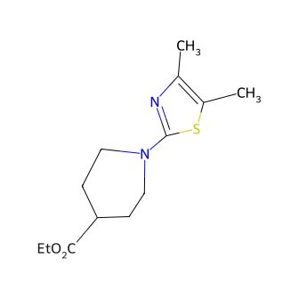 CCOC(=O)C1CCN(c2nc(C)c(C)s2)CC1